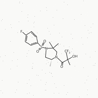 C[C@@H]1CN(S(=O)(=O)c2ccc(F)cc2)C(C)(C)CN1C(=O)C(C)(O)C(F)(F)F